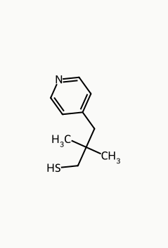 CC(C)(CS)Cc1ccncc1